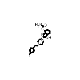 NC(=O)Oc1cccc2[nH]c(N3CCN(CCc4ccc(I)cc4)CC3)nc12